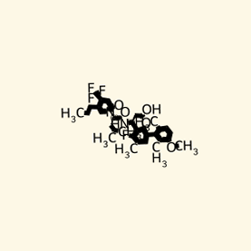 CCCc1cn([C@@H](CC(C)C)C(=O)N[C@@H](CC(=O)O)c2cc(-c3c(C)ccc(OC)c3C)cc(C)c2F)c(=O)cc1C(F)(F)F